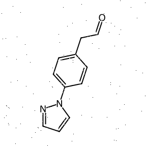 O=CCc1ccc(-n2cccn2)cc1